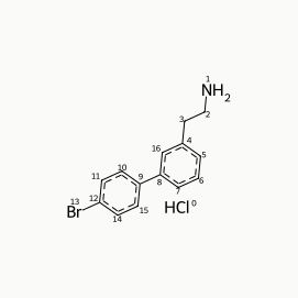 Cl.NCCc1cccc(-c2ccc(Br)cc2)c1